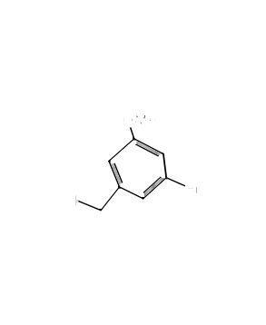 COc1cc(Br)cc(CCl)c1